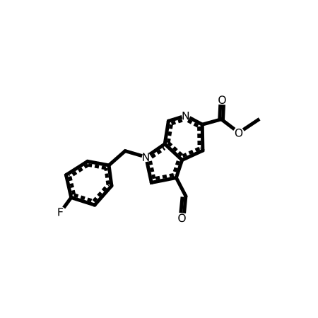 COC(=O)c1cc2c(C=O)cn(Cc3ccc(F)cc3)c2cn1